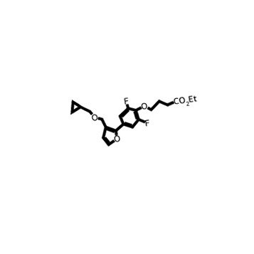 CCOC(=O)CCCOc1c(F)cc(-c2occc2COCC2CC2)cc1F